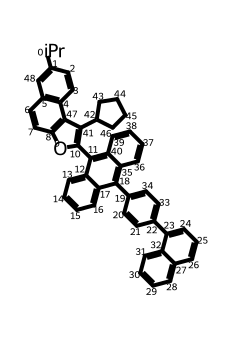 CC(C)c1ccc2c(ccc3oc(-c4c5ccccc5c(-c5ccc(-c6cccc7ccccc67)cc5)c5ccccc45)c(C4CCCC4)c32)c1